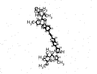 COC(=O)N[C@H](C(=O)N1C[C@@H](C)C[C@H]1c1nc(-c2cc3sc(C#Cc4ccc5[nH]c([C@@H]6C[C@H](C)CN6C(=O)[C@@H](NC(=O)OC)C(C)C)nc5c4)cc3s2)c[nH]1)C(C)C